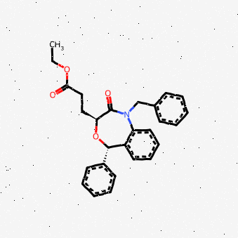 CCOC(=O)CC[C@@H]1O[C@@H](c2ccccc2)c2ccccc2N(Cc2ccccc2)C1=O